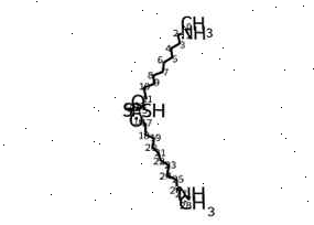 CNCCCCCCCCCCOP(=S)(S)OCCCCCCCCCCNC